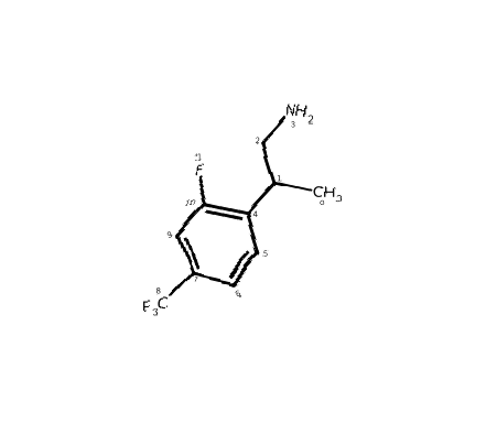 CC(CN)c1ccc(C(F)(F)F)cc1F